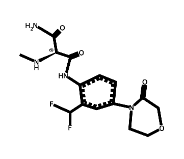 CN[C@@H](C(N)=O)C(=O)Nc1ccc(N2CCOCC2=O)cc1C(F)F